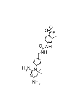 Cc1cc(NC(=O)NCc2ccc(N3C(N)=NC(N)=CC3(C)C)cc2)ccc1S(=O)(=O)F